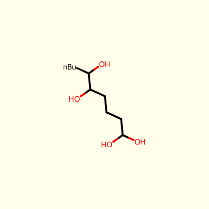 CCCCC(O)C(O)CCCC(O)O